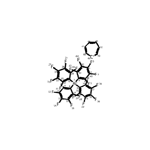 Fc1c(F)c(F)[c]([Al-]([c]2c(F)c(F)c(F)c(F)c2F)([c]2c(F)c(F)c(F)c(F)c2F)[c]2c(F)c(F)c(F)c(F)c2F)c(F)c1F.c1ccc[cH+]cc1